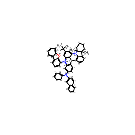 CC(C)(C)c1cc2c3c(c1)N1c4c(cccc4C4(C)CCCCC14C)B3c1ccc(N(c3ccccc3)c3ccc4ccccc4c3)cc1N2c1cccc2c1oc1ccccc12